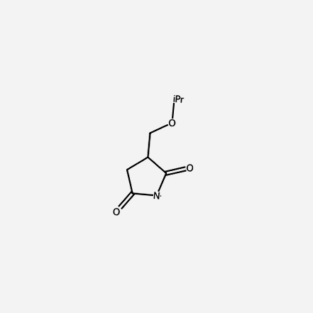 CC(C)OCC1CC(=O)[N]C1=O